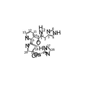 N[C@@H](Cc1c[nH]cn1)C(=O)c1cccnc1-c1ccccn1.[Cl][Os][c]1ncc[nH]1